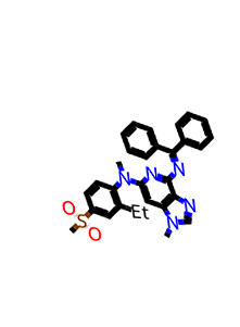 CCc1cc(S(C)(=O)=O)ccc1N(C)c1cc2c(ncn2C)c(N=C(c2ccccc2)c2ccccc2)n1